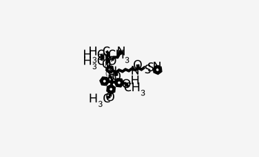 COc1ccc(C(OC[C@@H]2C[C@@H](OP(OCCC#N)N(C(C)C)C(C)C)CN2C(=O)CCCCCNC(=O)CCSSc2ccccn2)(c2ccccc2)c2ccc(OC)cc2)cc1